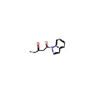 CCC(=O)CC(=O)n1ccc2ccccc21